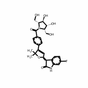 CC1(C)OC(=C2C(=O)Nc3cc(F)ccc32)C=C1c1ccc(C(=O)N2[C@H](CO)[C@@H](O)[C@H](O)[C@@H]2CO)cc1